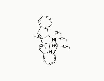 CC1=Cc2ccccc2[CH]1[Hf]([CH3])([CH3])([CH]1C(C)=Cc2ccccc21)[SiH](C)C